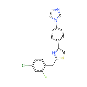 Fc1cc(Cl)ccc1Cc1nc(-c2ccc(-n3ccnc3)cc2)cs1